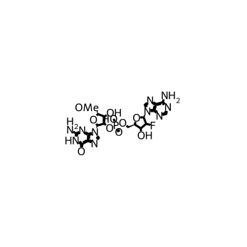 CO[C@H]1O[C@@H](n2cnc3c(=O)[nH]c(N)nc32)C(OP(=O)(O)OC[C@H]2O[C@@H](n3cnc4c(N)ncnc43)C(F)C2O)C1O